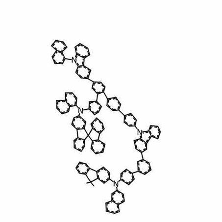 CC1(C)c2ccccc2-c2ccc(N(c3ccc(-c4cccc(-c5ccc6c(c5)c5ccccc5n6-c5ccc(-c6ccc(-c7ccc(-c8ccc9c(c8)c8ccccc8n9-c8cccc9ccccc89)cc7-c7cccc(N(c8ccc9c(c8)C8(c%10ccccc%10-c%10ccccc%108)c8ccccc8-9)c8cccc9ccccc89)c7)cc6)cc5)c4)cc3)c3ccc4ccccc4c3)cc21